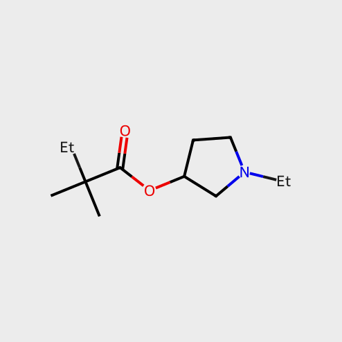 CCN1CCC(OC(=O)C(C)(C)CC)C1